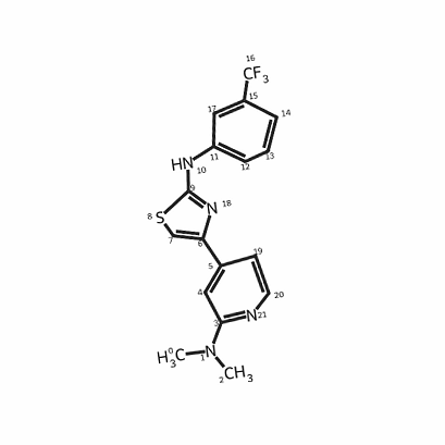 CN(C)c1cc(-c2csc(Nc3cccc(C(F)(F)F)c3)n2)ccn1